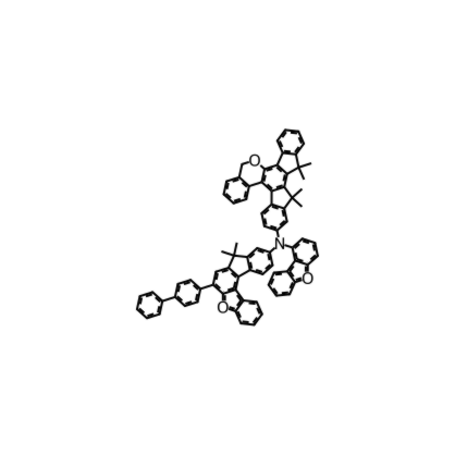 CC1(C)c2cc(N(c3ccc4c(c3)C(C)(C)c3c-4c4c(c5c3C(C)(C)c3ccccc3-5)OCc3ccccc3-4)c3cccc4oc5ccccc5c34)ccc2-c2c1cc(-c1ccc(-c3ccccc3)cc1)c1oc3ccccc3c21